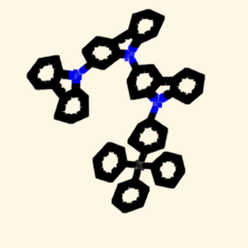 c1ccc([Si](c2ccccc2)(c2ccccc2)c2ccc(-n3c4ccccc4c4cc(-n5c6ccccc6c6ccc(-n7c8ccccc8c8ccccc87)cc65)ccc43)cc2)cc1